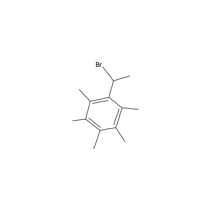 Cc1c(C)c(C)c(C(C)Br)c(C)c1C